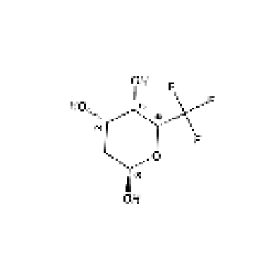 O[C@@H]1[C@H](C(F)(F)F)O[C@@H](O)C[C@@H]1O